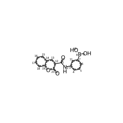 O=C(Nc1cccc(B(O)O)c1)c1cc2ccccc2oc1=O